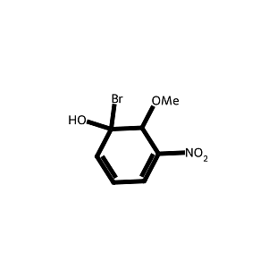 COC1C([N+](=O)[O-])=CC=CC1(O)Br